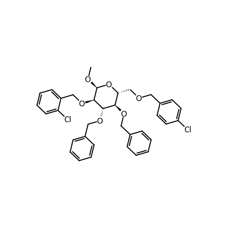 CO[C@H]1O[C@H](COCc2ccc(Cl)cc2)[C@@H](OCc2ccccc2)[C@H](OCc2ccccc2)[C@H]1OCc1ccccc1Cl